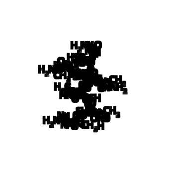 CC[C@H]1O[C@@H](n2cnc3c(N)ncnc32)C[C@H]1OP(=O)(S)OC[C@H]1O[C@@H](n2cc(C)c(=O)[nH]c2=O)C[C@H]1OP(=O)(S)OC[C@H]1O[C@@H](n2cc(C)c(=O)[nH]c2=O)C[C@H]1OP(=O)(S)OC[C@H]1O[C@@H](n2cc(C)c(N)nc2=O)C[C@H]1OP(=O)(S)OC[C@H]1O[C@@H](n2cnc3c(=O)[nH]c(N)nc32)C[C@H]1OP(=O)(S)OC[C@H]1O[C@@H](n2cc(C)c(N)nc2=O)C[C@H]1OP(=O)(S)OC